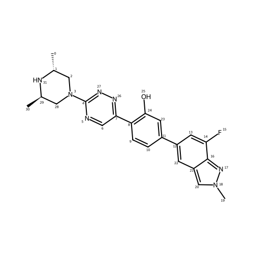 C[C@@H]1CN(c2ncc(-c3ccc(-c4cc(F)c5nn(C)cc5c4)cc3O)nn2)C[C@@H](C)N1